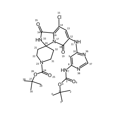 CC(C)(C)OC(=O)Nc1cc(Nc2cc(Cl)c3n(c2=O)C2(CCN(C(=O)OC(C)(C)C)CC2)NC3=O)ncn1